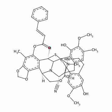 COc1cc2c(cc1O)CCN[C@]21CS[C@@H]2c3c(OC(=O)/C=C/c4ccccc4)c(C)c4c(c3[C@H](COC1=O)N1C2C2c3c(cc(C)c(OC)c3O)C[C@@H]([C@@H]1C#N)N2C)OCO4